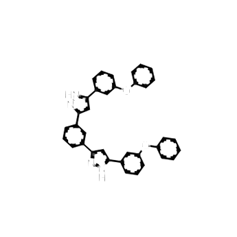 c1ccc(Oc2cccc(-c3cc(-c4cccc(-c5cc(-c6cccc(Oc7ccccc7)c6)[nH]n5)c4)n[nH]3)c2)cc1